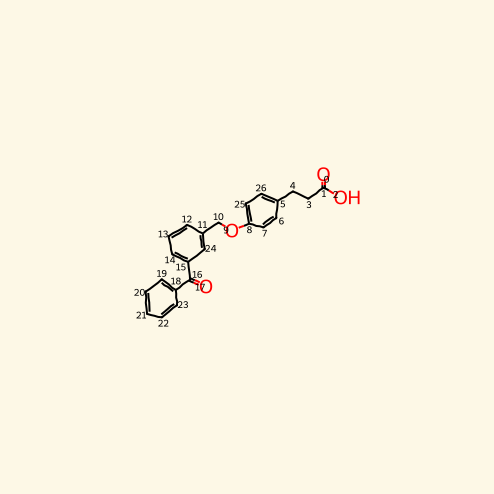 O=C(O)CCc1ccc(OCc2cccc(C(=O)c3ccccc3)c2)cc1